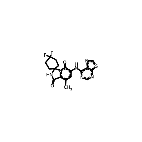 Cc1cc(Nc2ncnc3scnc23)c(=O)n2c1C(=O)NC21CCC(F)(F)CC1